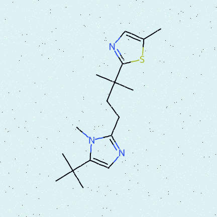 Cc1cnc(C(C)(C)CCc2ncc(C(C)(C)C)n2C)s1